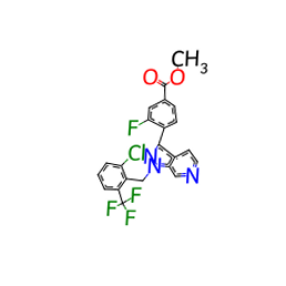 COC(=O)c1ccc(-c2nn(Cc3c(Cl)cccc3C(F)(F)F)c3cnccc23)c(F)c1